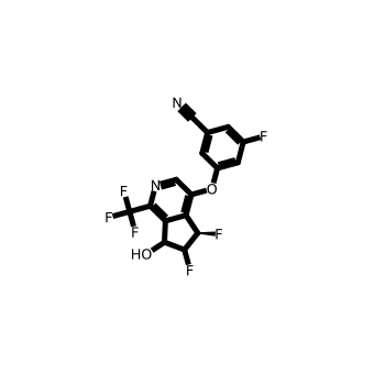 N#Cc1cc(F)cc(Oc2cnc(C(F)(F)F)c3c2[C@@H](F)C(F)C3O)c1